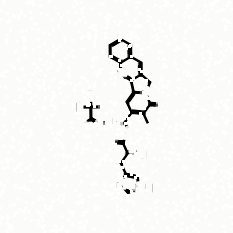 CC[C@@H](OC(=O)[C@@H](N)Cc1c[nH]cn1)c1cc2n(c(=O)c1C)Cc1cc3ccccc3nc1-2.O=C(O)C(F)(F)F